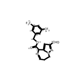 O=Cc1cc2n(n1)CCC=NC2C(=O)OCc1cc(C(F)(F)F)cc(C(F)(F)F)c1